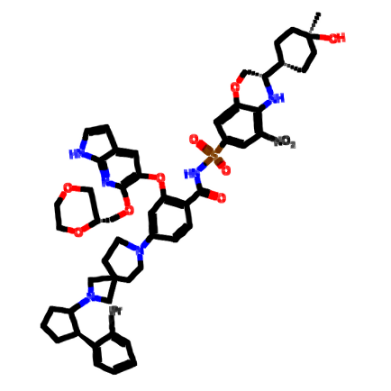 CC(C)c1ccccc1[C@H]1CCCC1N1CC2(CCN(c3ccc(C(=O)NS(=O)(=O)c4cc5c(c([N+](=O)[O-])c4)N[C@@H]([C@H]4CC[C@](C)(O)CC4)CO5)c(Oc4cc5cc[nH]c5nc4OC[C@H]4COCCO4)c3)CC2)C1